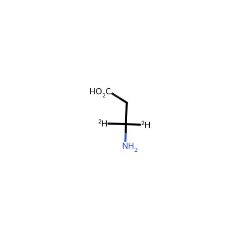 [2H]C([2H])(N)CC(=O)O